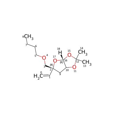 C=C[C@@]1(COCCCC)CC2OC(C)(C)O[C@H]2O1